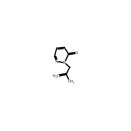 C=C(C)Cn1ncccc1=O